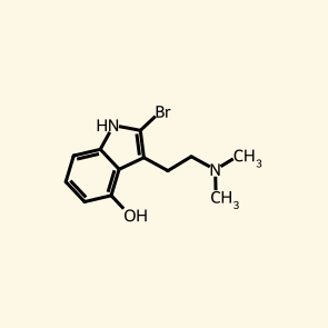 CN(C)CCc1c(Br)[nH]c2cccc(O)c12